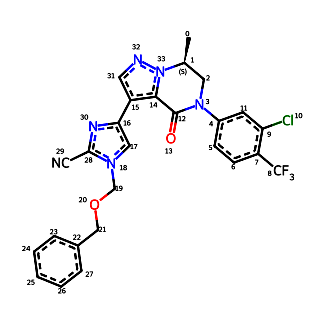 C[C@H]1CN(c2ccc(C(F)(F)F)c(Cl)c2)C(=O)c2c(-c3cn(COCc4ccccc4)c(C#N)n3)cnn21